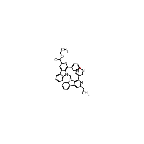 CCOC(=O)c1cc2c3ccccc3n(Cn3c4ccccc4c4cc(CC)nc(-c5cccnc5)c43)c2c(-c2cccnc2)n1